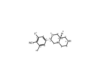 N#Cc1c(F)cc([C@H]2CN3CCNC[C@H]3CO2)cc1F